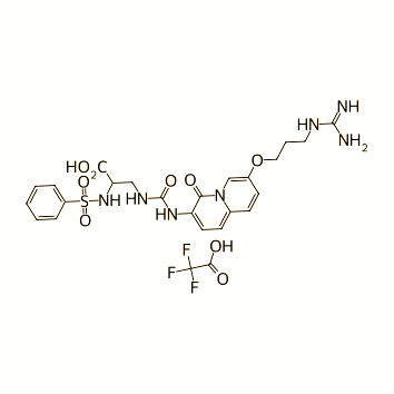 N=C(N)NCCCOc1ccc2ccc(NC(=O)NCC(NS(=O)(=O)c3ccccc3)C(=O)O)c(=O)n2c1.O=C(O)C(F)(F)F